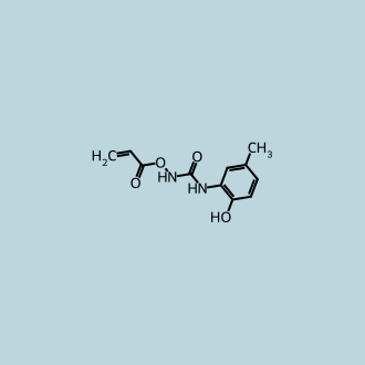 C=CC(=O)ONC(=O)Nc1cc(C)ccc1O